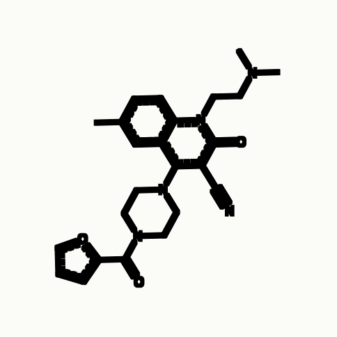 Cc1ccc2c(c1)c(N1CCN(C(=O)c3ccco3)CC1)c(C#N)c(=O)n2CCN(C)C